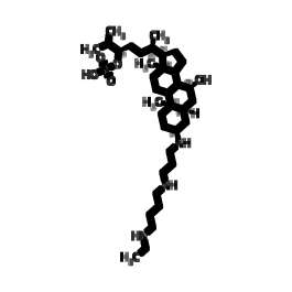 CCNCCCCNCCCN[C@H]1CC[C@]2(C)C3CC[C@@]4(C)C(CC[C@@H]4[C@H](C)CC[C@@H](OS(=O)(=O)O)C(C)C)C3[C@H](O)C[C@H]2C1